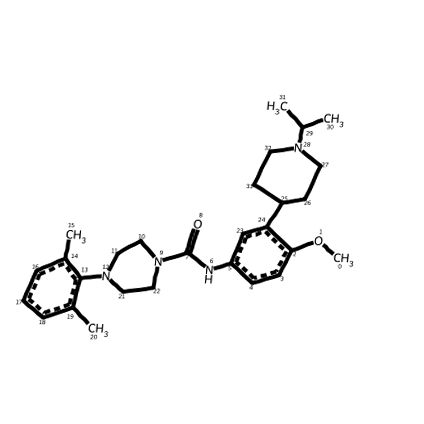 COc1ccc(NC(=O)N2CCN(c3c(C)cccc3C)CC2)cc1C1CCN(C(C)C)CC1